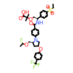 CCS(=O)(=O)c1ccc([C@H](COC(C)(C)C(=O)O)NC(=O)c2ccc(N3C[C@@H](Oc4ccc(C(F)(F)F)cc4)C[C@H]3COC(C)F)cc2)cc1